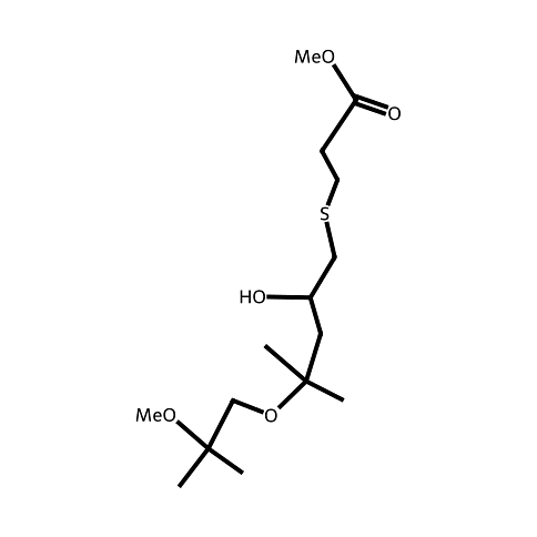 COC(=O)CCSCC(O)CC(C)(C)OCC(C)(C)OC